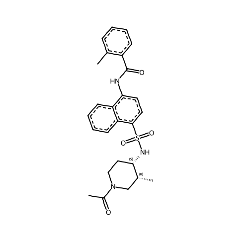 CC(=O)N1CC[C@H](NS(=O)(=O)c2ccc(NC(=O)c3ccccc3C)c3ccccc23)[C@H](C)C1